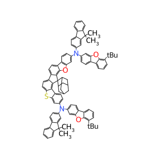 CC(C)(C)c1cccc2c1oc1cc(N(c3ccc4c(c3)C(C)(C)c3ccccc3-4)c3ccc4c(c3)oc3c5c(ccc34)-c3ccc4sc6cc(N(c7ccc8c(c7)C(C)(C)c7ccccc7-8)c7ccc8c(c7)oc7c(C(C)(C)C)cccc78)ccc6c4c3C53C4CC5CC(C4)CC3C5)ccc12